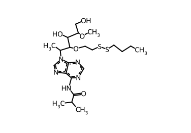 CCCCSSCCOC(C(O)C(CO)OC)C(C)n1cnc2c(NC(=O)C(C)C)ncnc21